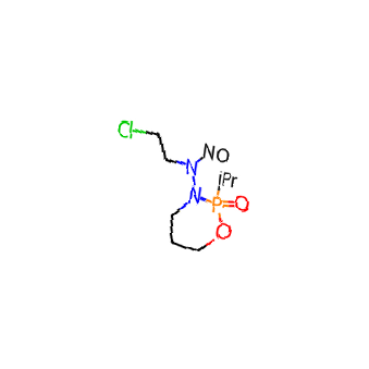 CC(C)P1(=O)OCCCN1N(CCCl)N=O